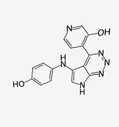 Oc1ccc(Nc2c[nH]c3nnnc(-c4ccncc4O)c23)cc1